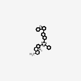 CC1=C(/C=C\c2ccc(-c3nc(-c4ccccc4)nc(-c4ccc5cc(-c6cccc7oc8ccccc8c67)ccc5c4)n3)cc2)C(C)CC=C1